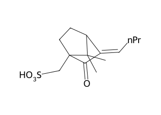 CCC/C=C1/C(=O)C2(CS(=O)(=O)O)CCC1C2(C)C